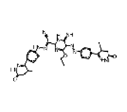 CCOC1=NC(C(C#N)=NNc2ccc(C3=NNC(=O)CC3C)cc2)NC(=N)C1N=Nc1ccc(C2=NNC(=O)CC2C)cc1